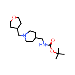 CC(C)(C)OC(=O)NCC1CCN(CC2CCOCC2)CC1